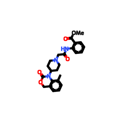 COC(=O)c1ccccc1NC(=O)CN1CCC(N2C(=O)OCc3cccc(C)c32)CC1